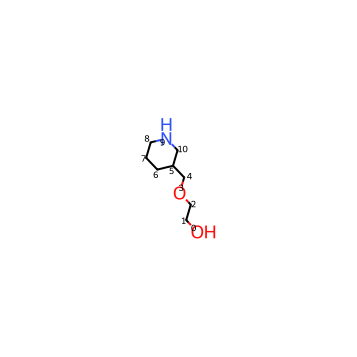 OCCOCC1CCCNC1